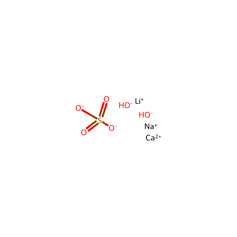 O=S(=O)([O-])[O-].[Ca+2].[Li+].[Na+].[OH-].[OH-]